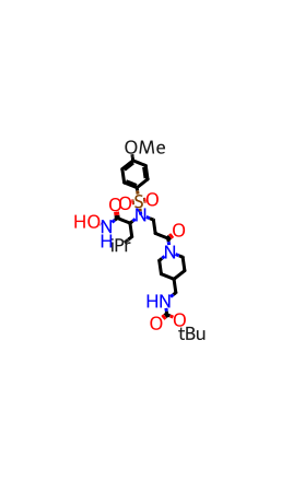 COc1ccc(S(=O)(=O)N(CCC(=O)N2CCC(CNC(=O)OC(C)(C)C)CC2)C(CC(C)C)C(=O)NO)cc1